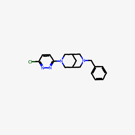 Clc1ccc(N2CC3CC(CN(Cc4ccccc4)C3)C2)nn1